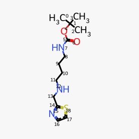 CC(C)(C)OC(=O)NCCCCNCc1nccs1